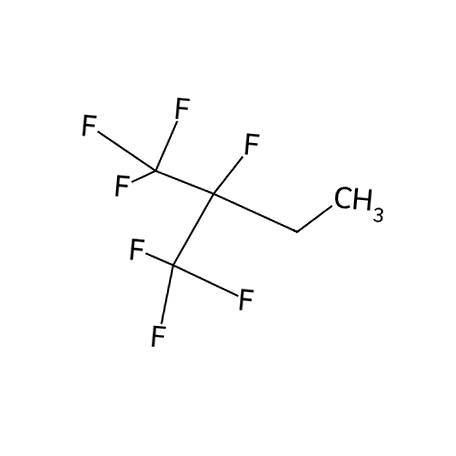 CCC(F)(C(F)(F)F)C(F)(F)F